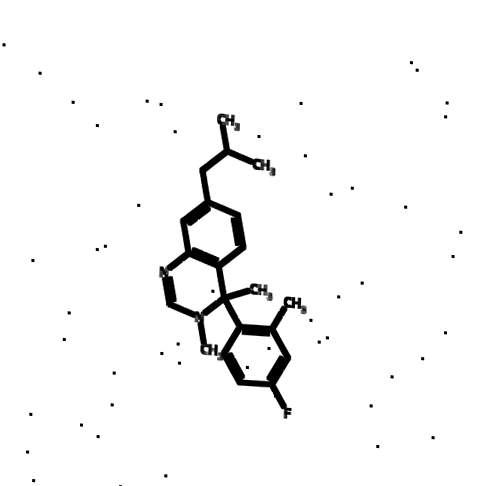 Cc1cc(F)ccc1C1(C)c2ccc(CC(C)C)cc2N=CN1C